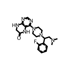 CN(C)CC(c1ccccc1F)N1CCN(c2ncnc3c2NC(=O)CN3)CC1